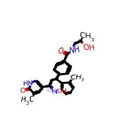 Cc1ccccc1C(C/C(=N\O)c1c[nH]c(=O)c(C)c1)c1ccc(C(=O)NC[C@@H](C)O)cc1